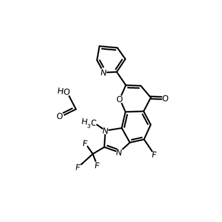 Cn1c(C(F)(F)F)nc2c(F)cc3c(=O)cc(-c4ccccn4)oc3c21.O=CO